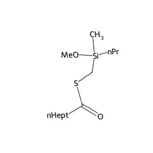 CCCCCCCC(=O)SC[Si](C)(CCC)OC